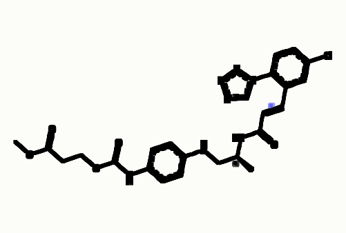 COC(=O)CCOC(=O)Nc1ccc(NC[C@H](C)NC(=O)/C=C/c2cc(Cl)ccc2-n2cnnn2)cc1